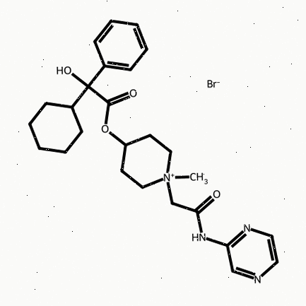 C[N+]1(CC(=O)Nc2cnccn2)CCC(OC(=O)C(O)(c2ccccc2)C2CCCCC2)CC1.[Br-]